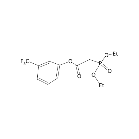 CCOP(=O)(CC(=O)Oc1cccc(C(F)(F)F)c1)OCC